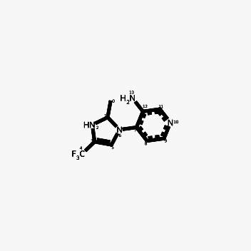 CC1NC(C(F)(F)F)=CN1c1ccncc1N